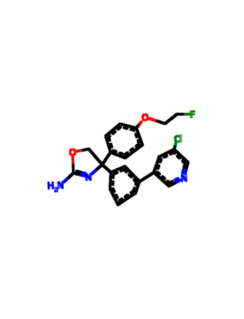 NC1=NC(c2ccc(OCCF)cc2)(c2cccc(-c3cncc(Cl)c3)c2)CO1